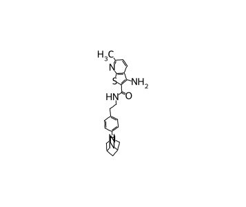 Cc1ccc2c(N)c(C(=O)NCCc3ccc(N4CC5CC(C4)N5)cc3)sc2n1